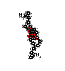 CC1(C)c2ccccc2-c2ccc(-c3ccc(N(c4ccc(-c5cccc6c5-c5ccccc5C65c6ccccc6N(c6ccccc6)c6ccccc65)cc4)c4cccc(-c5cccc(-c6ccc(N7c8ccccc8C8(c9ccccc9-c9c(-c%10ccc(N(c%11ccc(-c%12ccc%13c(c%12)C(C)(C)c%12ccccc%12-%13)cc%11)c%11ccccc%11-c%11ccccc%11)cc%10)cccc98)c8ccccc87)cc6)c5)c4)cc3)cc21